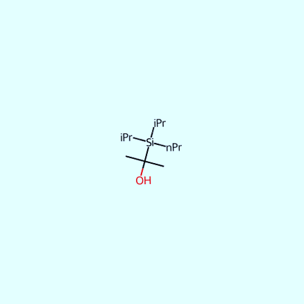 CCC[Si](C(C)C)(C(C)C)C(C)(C)O